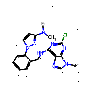 CCN(C)c1ccn(-c2ccccc2CNc2nc(Cl)nc3c2ncn3C(C)C)n1